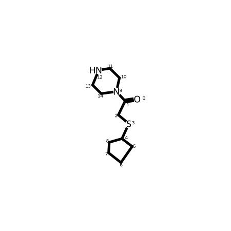 O=C(CSC1CCCC1)N1CCNCC1